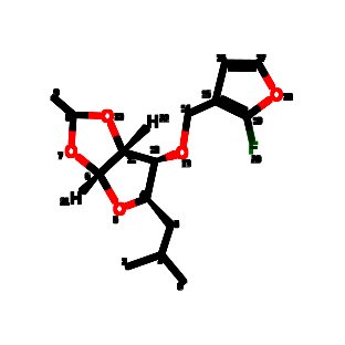 CC(C)C[C@H]1O[C@@H]2OC(C)O[C@@H]2[C@H]1OCc1ccoc1F